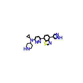 c1nc2c(-c3cn[nH]c3)ccc(-c3ccc(N(C4CCNCC4)C4CC4)nn3)c2s1